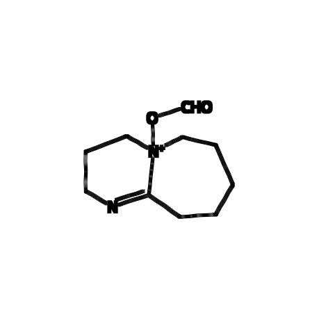 O=CO[N+]12CCCCCC1=NCCC2